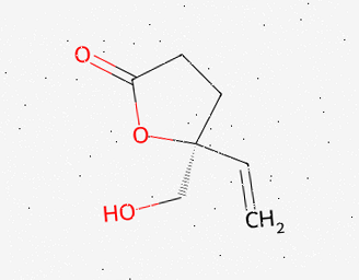 C=C[C@]1(CO)CCC(=O)O1